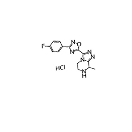 CC1NCCn2c(-c3nc(-c4ccc(F)cc4)no3)nnc21.Cl